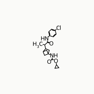 CC(C(=O)Nc1ccc(Cl)cc1)C1CC2(NC(=O)OC3CC3)CC1C2